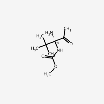 COC(=O)N[C@](N)(C(C)=O)C(C)(C)C